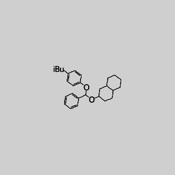 CCC(C)c1ccc(OC(OC2CCC3CCCCC3C2)c2ccccc2)cc1